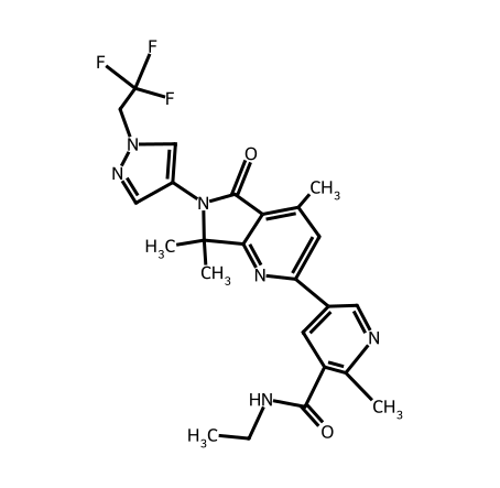 CCNC(=O)c1cc(-c2cc(C)c3c(n2)C(C)(C)N(c2cnn(CC(F)(F)F)c2)C3=O)cnc1C